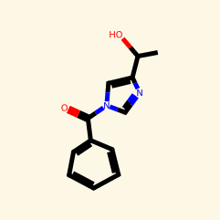 CC(O)c1cn(C(=O)c2ccccc2)cn1